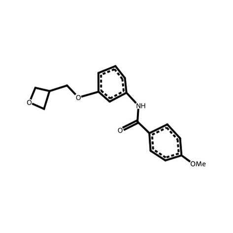 COc1ccc(C(=O)Nc2cccc(OCC3COC3)c2)cc1